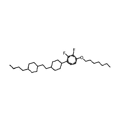 CCCCCCCOc1ccc(C2CCC(CCC3CCC(CCCC)CC3)CC2)c(F)c1F